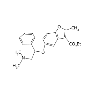 CCOC(=O)c1c(C)oc2ccc(OC(CN(C)C)c3ccccc3)cc12